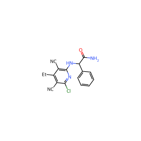 CCc1c(C#N)c(Cl)nc(NC(C(N)=O)c2ccccc2)c1C#N